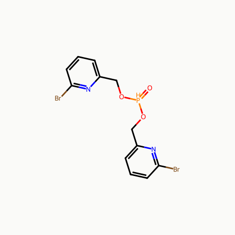 O=[PH](OCc1cccc(Br)n1)OCc1cccc(Br)n1